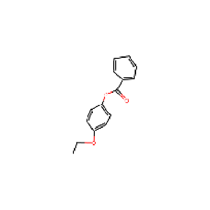 CCOc1ccc(OC(=O)c2cc[c]cc2)cc1